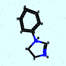 [c]1ccc(N2C=NCC2)cc1